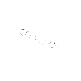 Cc1cc2sc(NC(=O)N3CCN(c4ncc([C@H](O)[C@H](C)O)cc4F)[C@H](C)C3)nc2cc1F